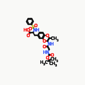 CC1Oc2ccc(C[C@H](NS(=O)(=O)c3ccccc3)C(=O)O)cc2OC1NC(=O)CNC(=O)OC(C)(C)C